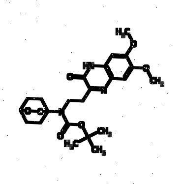 COc1cc2nc(CCN(C(=O)OC(C)(C)C)C34CCC(CC3)OC4)c(=O)[nH]c2cc1OC